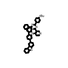 CC(C)(C)c1ccc(-c2nc(-c3ccccc3)nc(-c3cnccc3-n3c4ccccc4c4ccc(-c5ccc6sc7ccccc7c6c5)cc43)n2)cc1